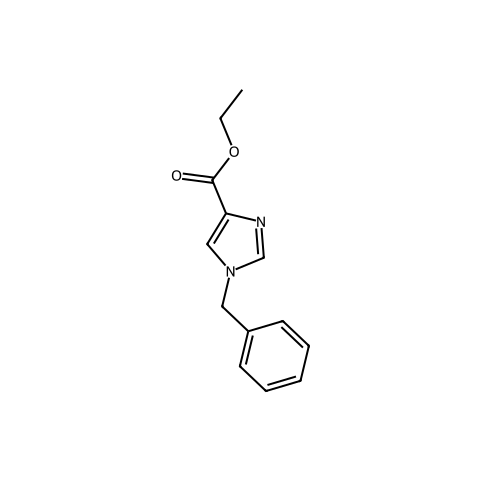 CCOC(=O)c1cn(Cc2ccccc2)cn1